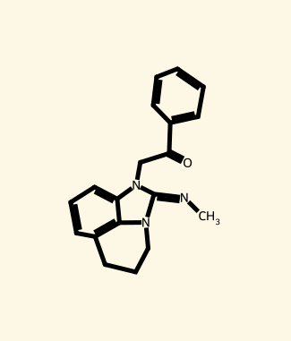 CN=c1n(CC(=O)c2ccccc2)c2cccc3c2n1CCC3